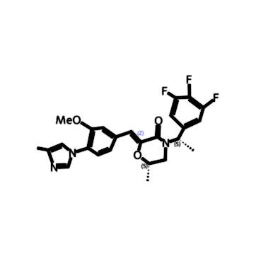 COc1cc(/C=C2\O[C@@H](C)CN([C@@H](C)c3cc(F)c(F)c(F)c3)C2=O)ccc1-n1cnc(C)c1